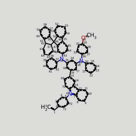 C=Cc1ccc(-n2c3ccccc3c3cc(-c4cc(N(c5ccccc5)c5ccc(OC)cc5)cc(N(c5ccccc5)c5ccc6c(c5)C5(c7ccccc7-6)c6ccccc6C6C=CC=CC65)c4)ccc32)cc1